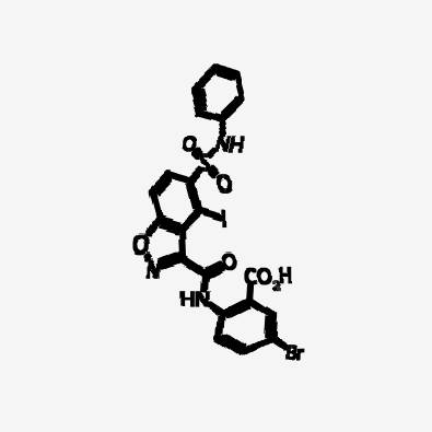 O=C(O)c1cc(Br)ccc1NC(=O)c1noc2ccc(S(=O)(=O)Nc3ccccc3)c(I)c12